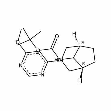 COc1cc(N2C[C@H]3CC[C@H](C2)C3NC(=O)OC(C)(C)C)ncn1